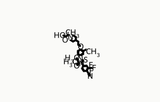 CCc1cc(N2C(=S)N(c3ccc(C#N)c(C(F)(F)F)c3)C(=O)C2(C)C)ccc1OCCC1CCN([C@H](C)C(=O)O)CC1